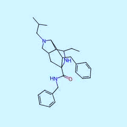 CCC1NC2(C(=O)NCc3ccccc3)CC3CN(CC(C)C)C(C31)C2Cc1ccccc1